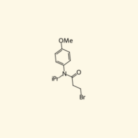 COc1ccc(N(C(=O)CCBr)C(C)C)cc1